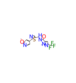 COc1cc(-c2ncc(CNC(=O)c3cc(C(F)(F)F)nn3C)s2)ccn1